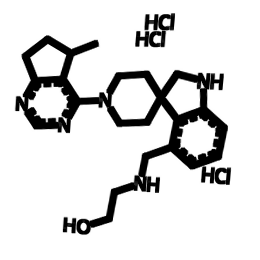 CC1CCc2ncnc(N3CCC4(CC3)CNc3cccc(CNCCO)c34)c21.Cl.Cl.Cl